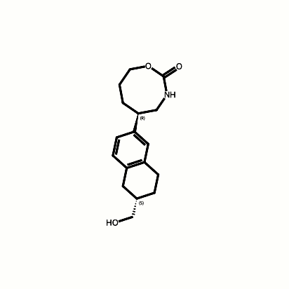 O=C1NC[C@@H](c2ccc3c(c2)CC[C@H](CO)C3)CCCO1